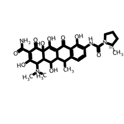 CC1c2ccc(NC(=O)N3CCC[C@@H]3C)c(O)c2C(=O)C2=C(O)C3(O)C(=O)C(C(N)=O)=C(O)C(N(C)C)C3C(O)C21